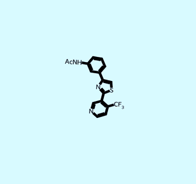 CC(=O)Nc1cccc(-c2csc(-c3cnccc3C(F)(F)F)n2)c1